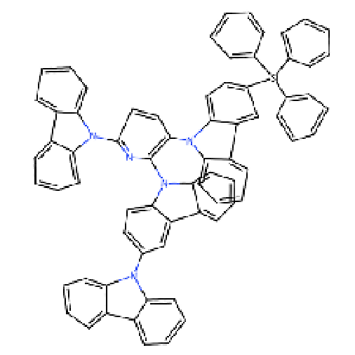 c1ccc([Si](c2ccccc2)(c2ccccc2)c2ccc3c(c2)c2ccccc2n3-c2ccc(-n3c4ccccc4c4ccccc43)nc2-n2c3ccccc3c3cc(-n4c5ccccc5c5ccccc54)ccc32)cc1